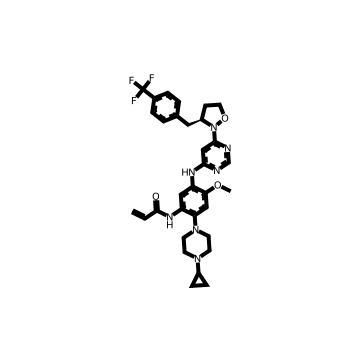 C=CC(=O)Nc1cc(Nc2cc(N3OCC[C@@H]3Cc3ccc(C(F)(F)F)cc3)ncn2)c(OC)cc1N1CCN(C2CC2)CC1